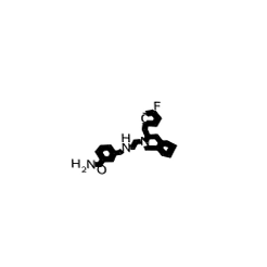 NC(=O)c1cccc(CNCCN2Cc3ccccc3CC2Cc2ccc(F)cc2)c1